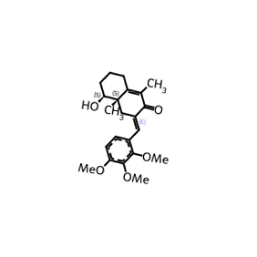 COc1ccc(/C=C2\C[C@@]3(C)C(=C(C)C2=O)CCC[C@@H]3O)c(OC)c1OC